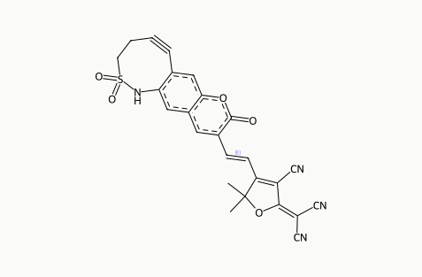 CC1(C)OC(=C(C#N)C#N)C(C#N)=C1/C=C/c1cc2cc3c(cc2oc1=O)C#CCCS(=O)(=O)N3